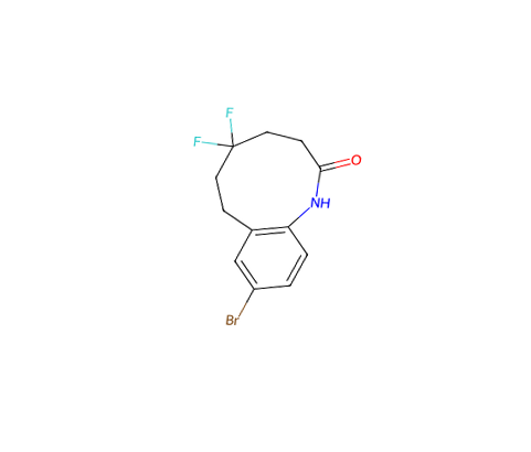 O=C1CCC(F)(F)CCc2cc(Br)ccc2N1